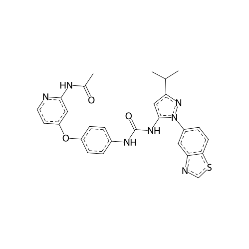 CC(=O)Nc1cc(Oc2ccc(NC(=O)Nc3cc(C(C)C)nn3-c3ccc4scnc4c3)cc2)ccn1